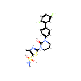 CNS(=O)(=O)c1sc(N2CCCN(c3ccc(-c4cc(F)ccc4F)cc3)C2=O)nc1C